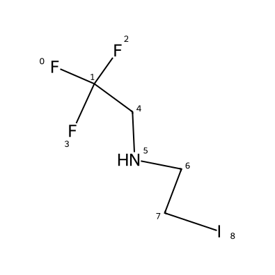 FC(F)(F)CNCCI